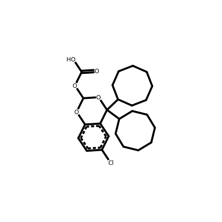 O=C(O)OC1Oc2ccc(Cl)cc2C(C2CCCCCCC2)(C2CCCCCCC2)O1